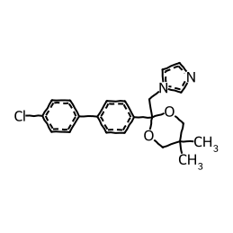 CC1(C)COC(Cn2ccnc2)(c2ccc(-c3ccc(Cl)cc3)cc2)OC1